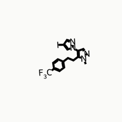 Cn1ncc(-n2cc(I)cn2)c1CCc1ccc(C(F)(F)F)cc1